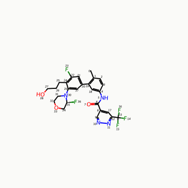 Cc1ccc(NC(=O)c2cnnc(C(F)(F)F)c2)cc1-c1cc(F)c(CCCO)c(N2CCOC[C@@H]2F)c1